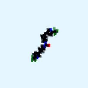 O=C(N1CC2(CCC(Cc3ccc(C(F)(F)F)nc3)C2)C1)N1CC2(CC(c3ccc(C(F)(F)F)nc3)C2)C1